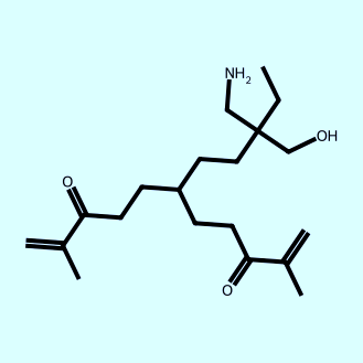 C=C(C)C(=O)CCC(CCC(=O)C(=C)C)CCC(CC)(CN)CO